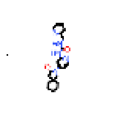 O=C(NCc1ccccn1)Nc1cc(N2CC3(CCCCC3)CC2=O)ccn1